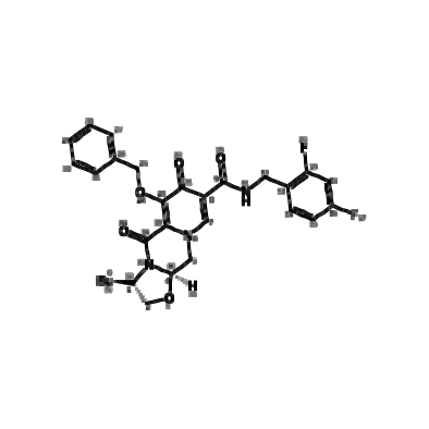 CC[C@H](C)[C@H]1CO[C@@H]2Cn3cc(C(=O)NCc4ccc(F)cc4F)c(=O)c(OCc4ccccc4)c3C(=O)N12